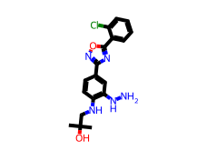 CC(C)(O)CNc1ccc(-c2noc(-c3ccccc3Cl)n2)cc1NN